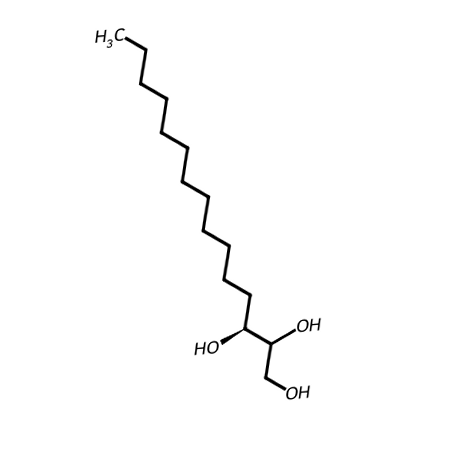 CCCCCCCCCCCC[C@H](O)C(O)CO